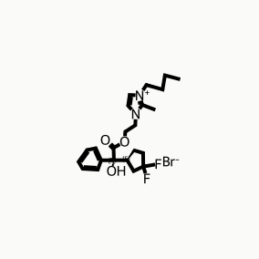 CCCC[n+]1ccn(CCOC(=O)[C@](O)(c2ccccc2)[C@H]2CCC(F)(F)C2)c1C.[Br-]